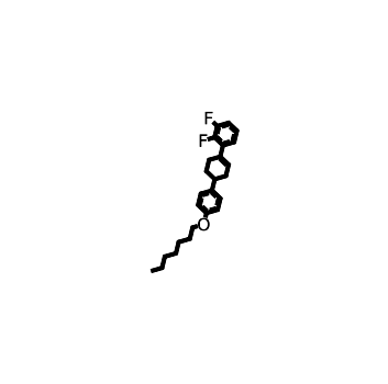 CCCCCCCOc1ccc(C2CC=C(c3cccc(F)c3F)CC2)cc1